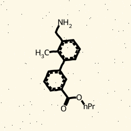 CCCOC(=O)c1cccc(-c2cccc(CN)c2C)c1